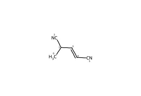 CC(C#N)/C=C/C#N